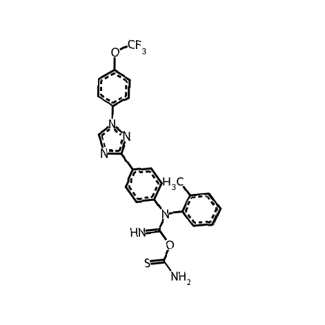 Cc1ccccc1N(C(=N)OC(N)=S)c1ccc(-c2ncn(-c3ccc(OC(F)(F)F)cc3)n2)cc1